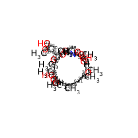 CO[C@H]1C[C@@H]2CC[C@@H](C)[C@@](O)(O2)C(=O)C(=O)N2CCCC[C@H]2C(=O)O[C@H]([C@H](C)CC2CC[C@@H](O)[C@H](OC)C2)CC(=O)[C@H](C)/C=C(\C)[C@@H](O)[C@@H](OC)C(=O)[C@H](C)C[C@H](C)/C=C/C=C/C=C/1C